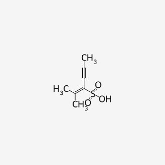 CC#CC(=C(C)C)S(=O)(=O)O